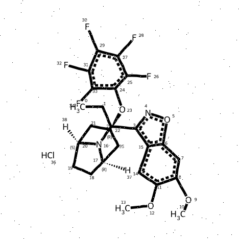 CCC(c1noc2cc(OC)c(OC)cc12)N1[C@@H]2CC[C@H]1C[C@@H](Oc1c(F)c(F)c(F)c(F)c1F)C2.Cl